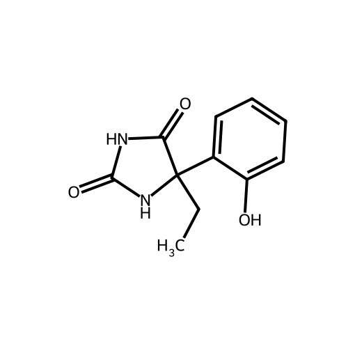 CCC1(c2ccccc2O)NC(=O)NC1=O